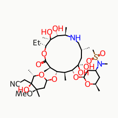 CC[C@H]1OC(=O)[C@H](C)[C@@H](O[C@H]2C[C@@](C)(OC)[C@](O)(CC#N)[C@H](C)O2)[C@H](C)[C@@H](O[C@@H]2O[C@H](C)C[C@H](N(C)S(C)(=O)=O)[C@H]2O)[C@](C)(O)C[C@@H](C)CN[C@H](C)[C@@H](O)[C@]1(C)O